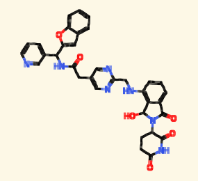 O=C1CCC(N2C(=O)c3cccc(NCc4ncc(CC(=O)NC(c5cccnc5)c5cc6ccccc6o5)cn4)c3C2O)C(=O)N1